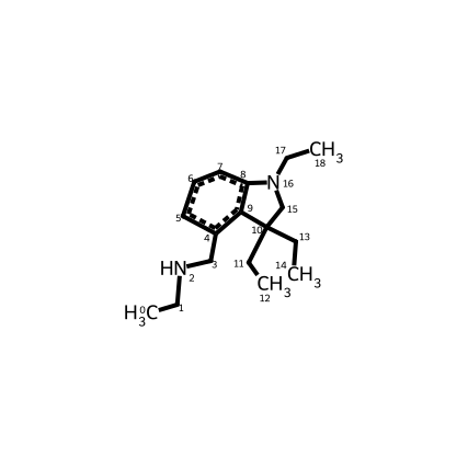 CCNCc1cccc2c1C(CC)(CC)CN2CC